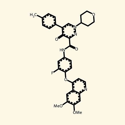 COc1cc2nccc(Oc3ccc(NC(=O)c4nn(C5CCOCC5)cc(-c5ccc(C)cc5)c4=O)cc3F)c2cc1OC